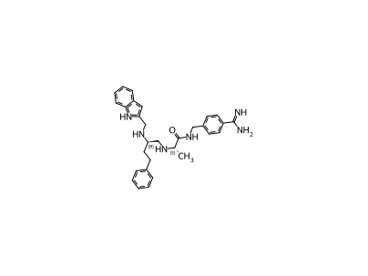 C[C@H](NC[C@@H](CCc1ccccc1)NCc1cc2ccccc2[nH]1)C(=O)NCc1ccc(C(=N)N)cc1